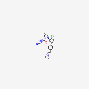 CC1C[C@@H](C(=O)NCC#N)N(c2cc(-c3ccc(CCN4CCCC4)cc3)ccc2Cl)C1